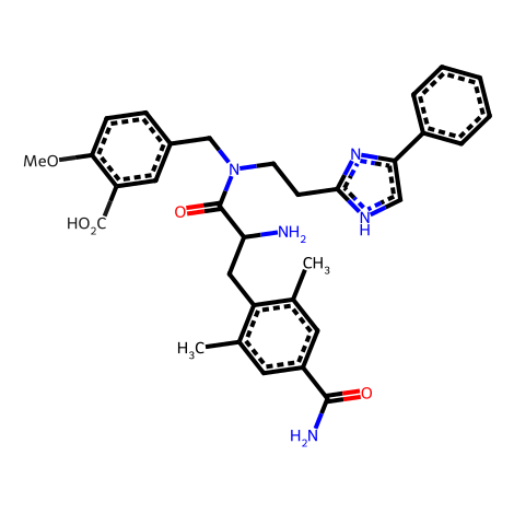 COc1ccc(CN(CCc2nc(-c3ccccc3)c[nH]2)C(=O)C(N)Cc2c(C)cc(C(N)=O)cc2C)cc1C(=O)O